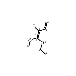 C=C/C(F)=C(\OCC)SC